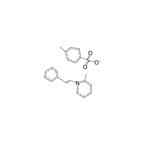 Cc1ccc(S(=O)(=O)[O-])cc1.Cc1cccc[n+]1C=Cc1ccccc1